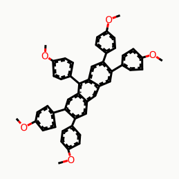 COc1ccc(-c2cc3cc4cc(-c5ccc(OC)cc5)c(-c5ccc(OC)cc5)cc4c(-c4ccc(OC)cc4)c3cc2-c2ccc(OC)cc2)cc1